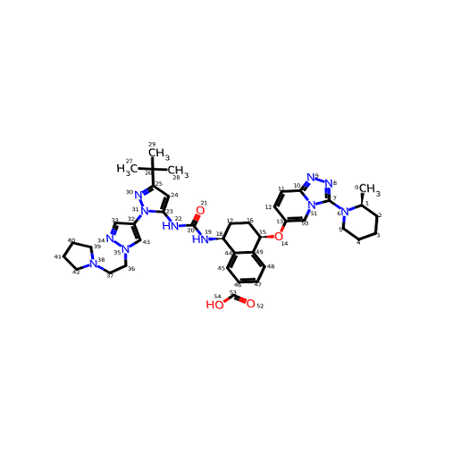 C[C@H]1CCCCN1c1nnc2ccc(O[C@@H]3CC[C@H](NC(=O)Nc4cc(C(C)(C)C)nn4-c4cnn(CCN5CCCC5)c4)c4ccccc43)cn12.O=CO